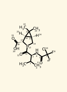 CC(C)[C@H](NC(=O)C(F)(F)Cl)C(=O)N1C[C@H]2[C@@H]([C@H]1C(=O)O)C2(C)C